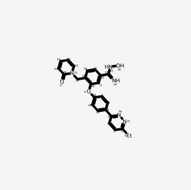 CCc1ccc(-c2ccc(Oc3cc(C(=N)NO)ccc3Cn3ccccc3=O)cc2)nn1